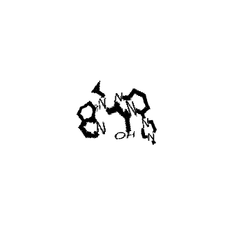 CN1CCN(C2CC=Cc3nc(CN(CC4CC4)[C@H]4CCCc5cccnc54)c(CO)n32)CC1